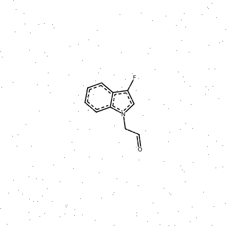 O=CCn1cc(F)c2ccccc21